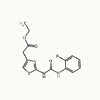 CCOC(=O)Cc1csc(NC(=O)Nc2ccccc2F)n1